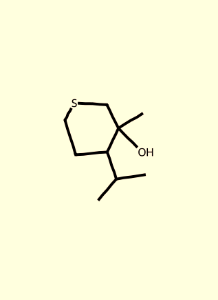 CC(C)C1CCSCC1(C)O